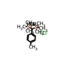 Cc1ccc(C([S+](C)(C)(C)C)[S+](C)(C)(C)C)cc1.[Cl-].[Cl-]